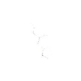 [CH2]CCC(O)CN1CCCC1